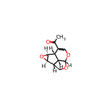 CC(=O)C1=CO[C@@H]2OC[C@@H]3[C@H]4O[C@H]4[C@H]1[C@H]23